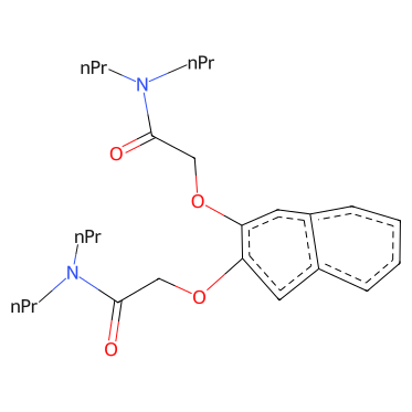 CCCN(CCC)C(=O)COc1cc2ccccc2cc1OCC(=O)N(CCC)CCC